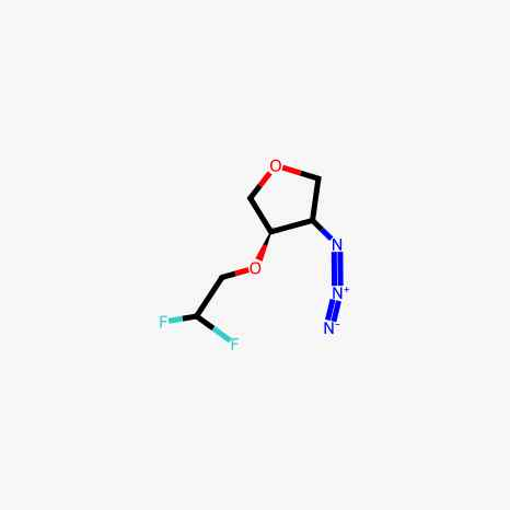 [N-]=[N+]=NC1COC[C@@H]1OCC(F)F